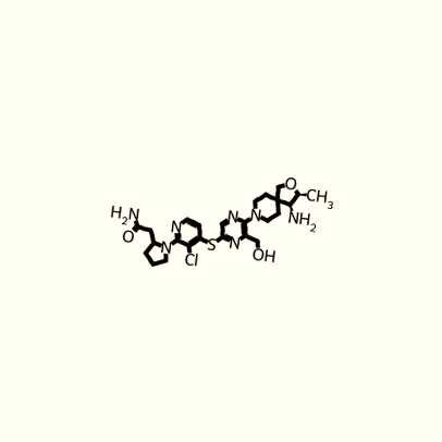 C[C@@H]1OCC2(CCN(c3ncc(Sc4ccnc(N5CCCC5CC(N)=O)c4Cl)nc3CO)CC2)[C@@H]1N